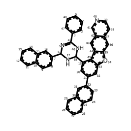 c1ccc(C2=NC(c3ccc4ccccc4c3)NC(c3cc(-c4ccc5ccccc5c4)cc4oc5cc6ccncc6cc5c34)N2)cc1